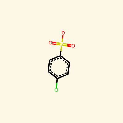 [O]S(=O)(=O)c1ccc(Cl)cc1